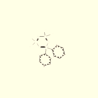 FP1(F)=NP(F)(F)=NP(c2ccccc2)(c2ccccc2)=N1